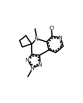 CN1c2c(ccnc2Cl)-c2nn(C)nc2C12CCC2